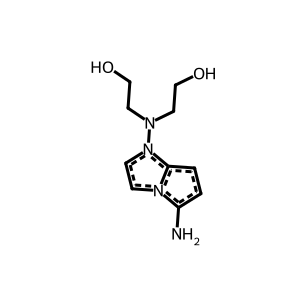 Nc1ccc2n(N(CCO)CCO)ccn12